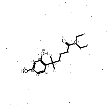 CCN(CC)C(=O)CCCC(C)(C)c1ccc(O)cc1O